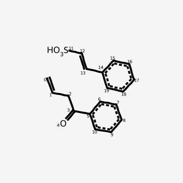 C=CCC(=O)c1ccccc1.O=S(=O)(O)C=Cc1ccccc1